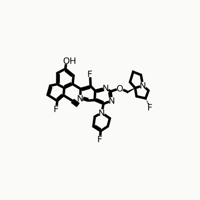 C#Cc1c(F)ccc2cc(O)cc(-c3ncc4c(N5CC=C(F)CC5)nc(OC[C@@]56CCCN5C[C@H](F)C6)nc4c3F)c12